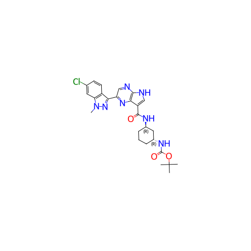 Cn1nc(-c2cnc3[nH]cc(C(=O)N[C@@H]4CCC[C@@H](NC(=O)OC(C)(C)C)C4)c3n2)c2ccc(Cl)cc21